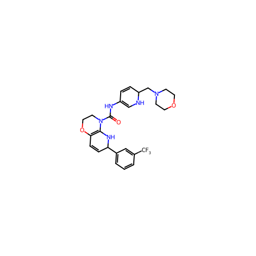 O=C(NC1=CNC(CN2CCOCC2)C=C1)N1CCOC2=C1NC(c1cccc(C(F)(F)F)c1)C=C2